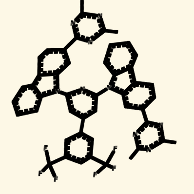 Cc1nc(C)nc(-c2ccc3c4ccccc4n(-c4cc(-c5cc(C(F)(F)F)cc(C(F)(F)F)c5)cc(-n5c6ccccc6c6ccc(-c7nc(C)nc(C)n7)cc65)n4)c3c2)n1